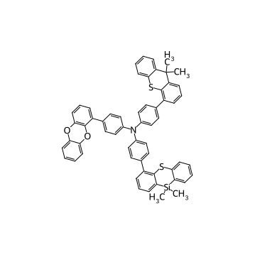 CC1(C)c2ccccc2Sc2c(-c3ccc(N(c4ccc(-c5cccc6c5Oc5ccccc5O6)cc4)c4ccc(-c5cccc6c5Sc5ccccc5[Si]6(C)C)cc4)cc3)cccc21